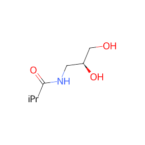 CC(C)C(=O)NC[C@H](O)CO